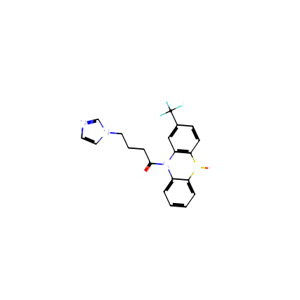 O=C(CCCn1ccnc1)N1c2ccccc2[S+]([O-])c2ccc(C(F)(F)F)cc21